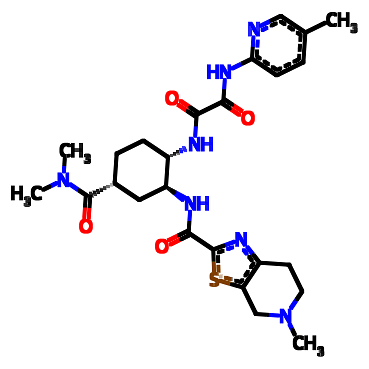 Cc1ccc(NC(=O)C(=O)N[C@H]2CC[C@@H](C(=O)N(C)C)C[C@@H]2NC(=O)c2nc3c(s2)CN(C)CC3)nc1